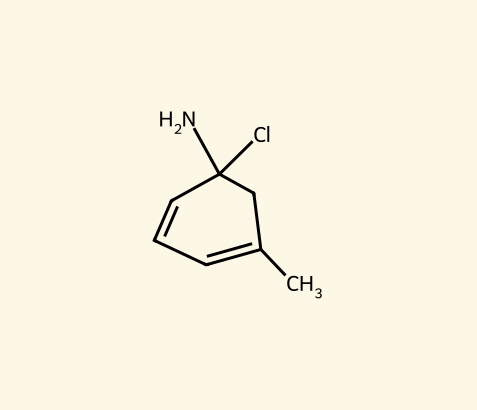 CC1=CC=CC(N)(Cl)C1